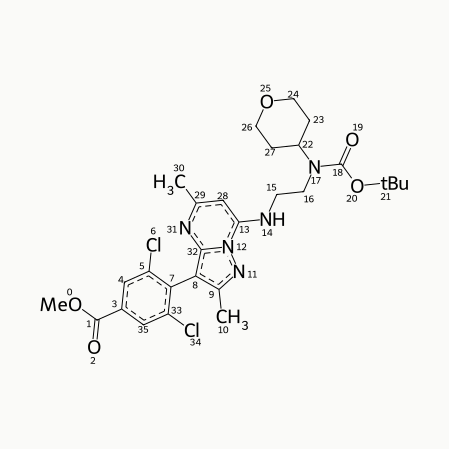 COC(=O)c1cc(Cl)c(-c2c(C)nn3c(NCCN(C(=O)OC(C)(C)C)C4CCOCC4)cc(C)nc23)c(Cl)c1